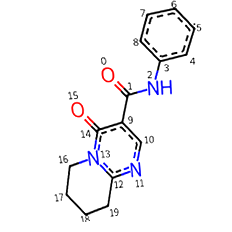 O=C(Nc1c[c]ccc1)c1cnc2n(c1=O)CCCC2